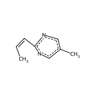 C/C=C\c1ncc(C)cn1